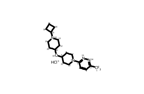 Cl.FC(F)(F)c1ccc(N2CCC(OC3CCN(C4CCC4)CC3)CC2)nn1